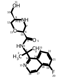 CC(C)(NC(=O)[C@@H]1CN[C@H](CO)CO1)c1nccc2c(F)cccc12